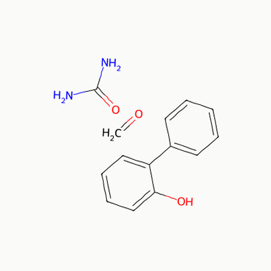 C=O.NC(N)=O.Oc1ccccc1-c1ccccc1